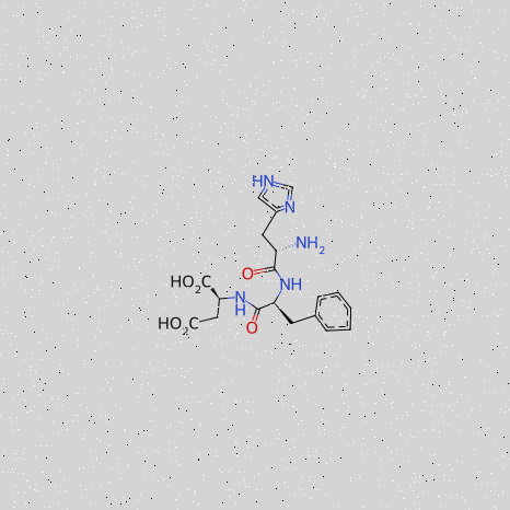 N[C@@H](Cc1c[nH]cn1)C(=O)N[C@@H](Cc1ccccc1)C(=O)N[C@@H](CC(=O)O)C(=O)O